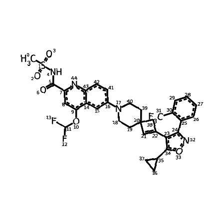 CS(=O)(=O)NC(=O)c1cc(OC(F)F)c2cc(N3CCC4(C=C(c5c(-c6ccccc6C(F)(F)F)noc5C5CC5)C4)CC3)ccc2n1